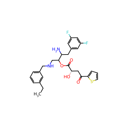 CCc1cccc(CNCC(OC(=O)[C@@H](O)CC(=O)c2cccs2)C(N)Cc2cc(F)cc(F)c2)c1